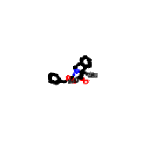 COC(=O)C1(C(C)(C)C)c2ccccc2CN1C(=O)OCc1ccccc1